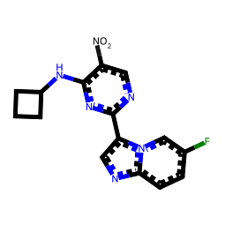 O=[N+]([O-])c1cnc(-c2cnc3ccc(F)cn23)nc1NC1CCC1